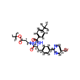 CC(C)(C)OC(=O)CCNC(=O)[C@H](Cc1ccc(-c2ncc(Br)cn2)cc1)NC(=O)c1ccc(C(C)(C)C)cc1